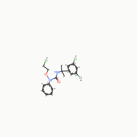 CC(C)(NC(=O)N(OCCCl)c1ccccc1)c1cc(Cl)cc(Cl)c1